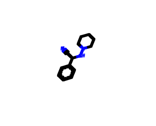 N#CC(NN1CCCCC1)c1ccccc1